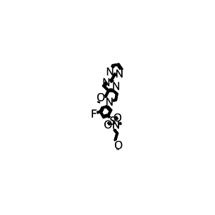 COCCCN(C)S(=O)(=O)c1cc(F)cc(N2CCc3nc(-c4ncccn4)ncc3C2OC)c1